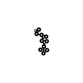 c1ccc([Si](c2ccccc2)(c2ccccc2)c2ccc(-n3c4ccccc4c4c(-n5c6ccccc6c6ccc(-c7cccc8oc9ccccc9c78)cc65)cccc43)cc2)cc1